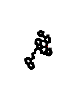 Cc1ccnc(-n2ccnc2)c1-c1cccc2c(CCCOc3cccc4ccccc34)c(OC(=O)O)n(Cc3ccccn3)c12